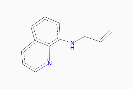 C=CCNc1cccc2cccnc12